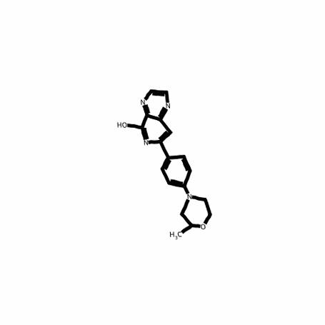 CC1CN(c2ccc(-c3cc4nccnc4c(O)n3)cc2)CCO1